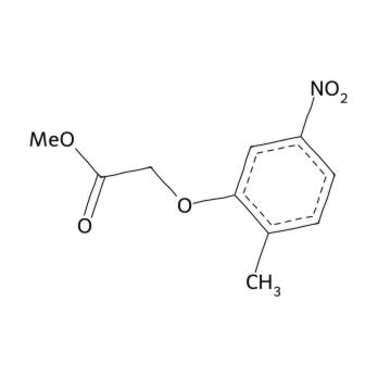 COC(=O)COc1cc([N+](=O)[O-])ccc1C